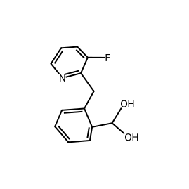 OC(O)c1ccccc1Cc1ncccc1F